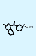 CCCCCCOc1cccc(N(C)c2nc(C)nc3ccccc23)c1